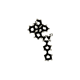 Clc1nc(-c2ccc(-c3ccccc3)cc2)nc(-c2cccc3c2-c2ccccc2C32c3ccccc3-c3ccccc32)n1